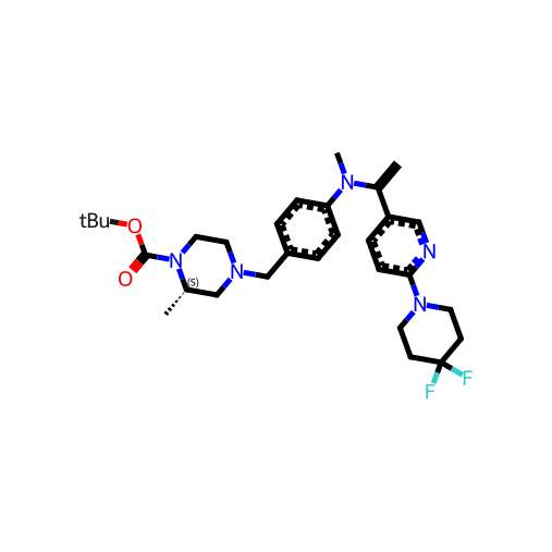 C=C(c1ccc(N2CCC(F)(F)CC2)nc1)N(C)c1ccc(CN2CCN(C(=O)OC(C)(C)C)[C@@H](C)C2)cc1